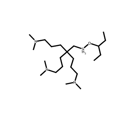 CCC(CC)O[SiH2]CC(CCCN(C)C)(CCCN(C)C)CCCN(C)C